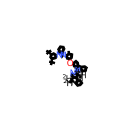 [2H]C([2H])([2H])c1cnc(-n2c3ccccc3c3ccc(Oc4ccc(C)c(-n5c[n+](-c6cc(C(C)(C)C)cc(C(C)(C)C)c6)c6ccccc65)c4)cc32)c(C([2H])([2H])[2H])c1-c1ccccc1